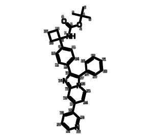 CC(C)(C)OC(=O)NC1(c2ccc(-c3nc4cc(-c5cccnc5)ccn4c3-c3ccccc3)cc2)CCC1